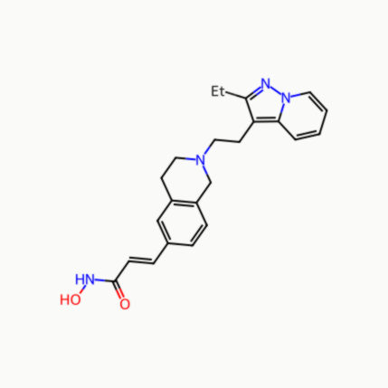 CCc1nn2ccccc2c1CCN1CCc2cc(C=CC(=O)NO)ccc2C1